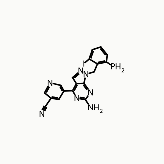 N#Cc1cncc(-c2nc(N)nc3c2cnn3Cc2c(P)cccc2I)c1